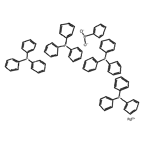 [O-]B([O-])c1ccccc1.[Pd+2].c1ccc(P(c2ccccc2)c2ccccc2)cc1.c1ccc(P(c2ccccc2)c2ccccc2)cc1.c1ccc(P(c2ccccc2)c2ccccc2)cc1.c1ccc(P(c2ccccc2)c2ccccc2)cc1